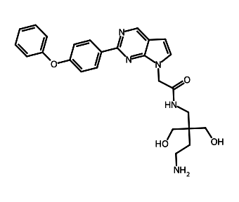 NCCC(CO)(CO)CNC(=O)Cn1ccc2cnc(-c3ccc(Oc4ccccc4)cc3)nc21